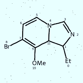 CCC1N=CN2C=CC(Br)=C(OC)C12